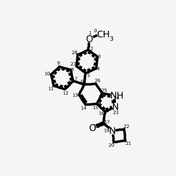 COc1ccc(C2(c3ccccc3)C=Cc3c(C(=O)N4CCC4)n[nH]c3C2)cc1